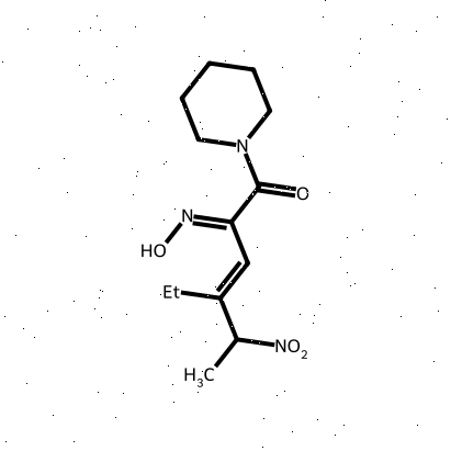 CCC(=CC(=NO)C(=O)N1CCCCC1)C(C)[N+](=O)[O-]